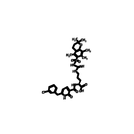 Cc1c(C)c(S(=O)(=O)NC(=N)NCCC[C@H](NC(=O)c2ccc(Cc3cccc(Cl)c3)[nH]c2=O)C(=O)O)c(C)c2c1OC(C)(C)CC2